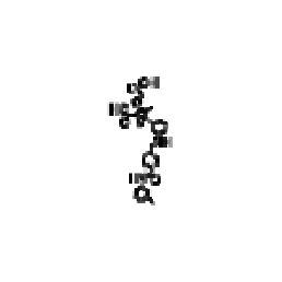 Cc1cccc(NC(=O)N2CCC(CNc3cccc(-c4sc(C(=O)O)c(OCC(=O)O)c4C)c3)CC2)c1